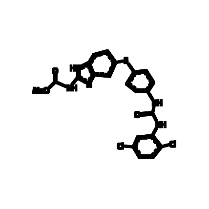 COC(=O)Nc1nc2cc(Sc3ccc(NC(=O)Nc4cc(Cl)ccc4Cl)cc3)ccc2[nH]1